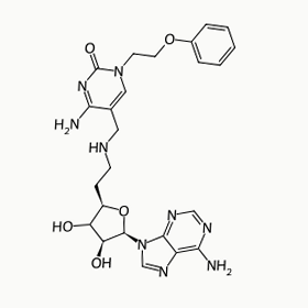 Nc1nc(=O)n(CCOc2ccccc2)cc1CNCC[C@H]1O[C@@H](n2cnc3c(N)ncnc32)[C@@H](O)C1O